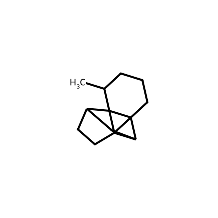 CC1CCCC23C4CC5CCC42C153